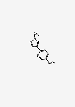 CNc1cnc(-c2cnn(C)c2)nc1